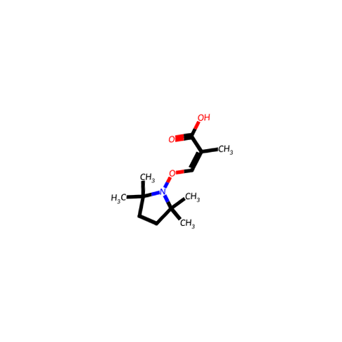 CC(=CON1C(C)(C)CCC1(C)C)C(=O)O